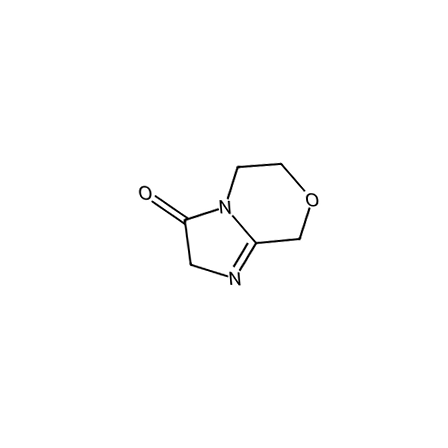 O=C1CN=C2COCCN12